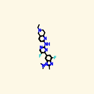 CCN1CCc2nc(Nc3ncc(F)c(-c4cc(F)c5nc(C)n(N(C)C)c5c4)n3)ccc2C1